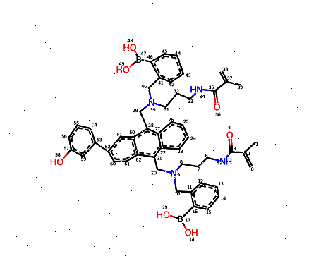 C=C(C)C(=O)NCCCN(Cc1ccccc1B(O)O)Cc1c2ccccc2c(CN(CCCNC(=O)C(=C)C)Cc2ccccc2B(O)O)c2cc(-c3cccc(O)c3)ccc12